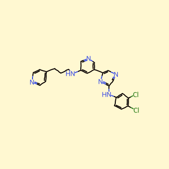 Clc1ccc(Nc2cncc(-c3cncc(NCCCc4ccncc4)c3)n2)cc1Cl